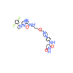 O=C1CCC(Nc2ccc(N3CCN(CCOCCCCCNC(=O)c4cnn5ccc(N6CCC[C@@H]6c6cc(F)ccc6F)nc45)CC3)cc2)C(=O)N1